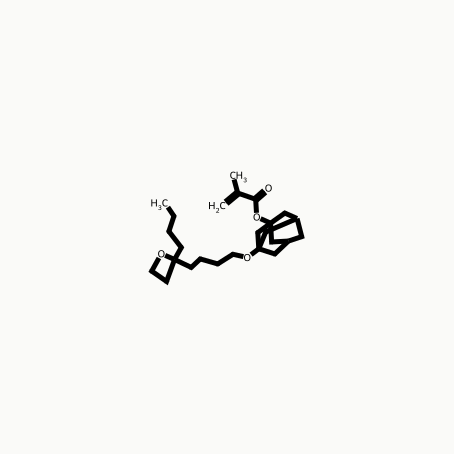 C=C(C)C(=O)OC12CC3CC(CC(OCCCCC4(CCCC)CCO4)(C3)C1)C2